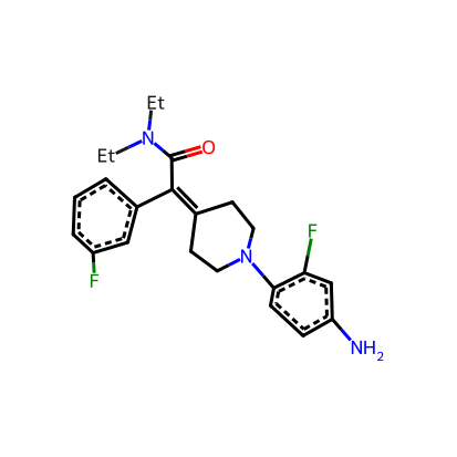 CCN(CC)C(=O)C(=C1CCN(c2ccc(N)cc2F)CC1)c1cccc(F)c1